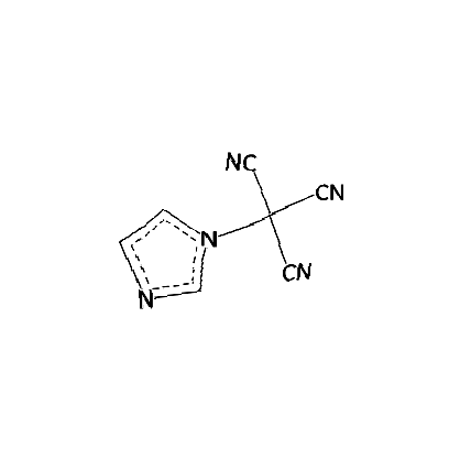 N#CC(C#N)(C#N)n1ccnc1